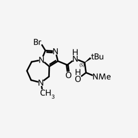 CNC(O)[C@@H](NC(=O)c1nc(Br)n2c1CN(C)CCC2)C(C)(C)C